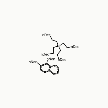 CCCCCCCCCCCC[N+](CCCCCCCCCCCC)(CCCCCCCCCCCC)CCCCCCCCCCCC.CCCCCCCCCc1ccc2ccccc2c1CCCCCCCCC